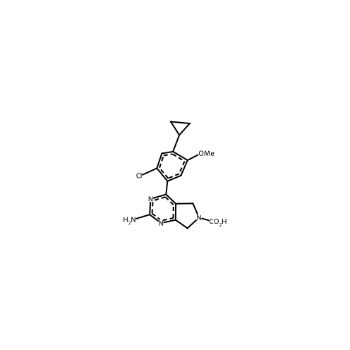 COc1cc(-c2nc(N)nc3c2CN(C(=O)O)C3)c(Cl)cc1C1CC1